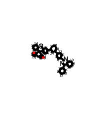 C1=C(c2ccc(-c3nc(-c4ccccc4)c4ccccc4n3)cc2)C=C(c2ccc3c(c2)Oc2ccccc2C32c3ccccc3-c3ccccc32)CC1